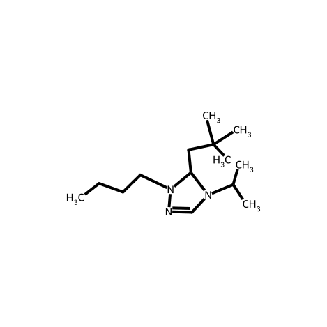 CCCCN1N=CN(C(C)C)C1CC(C)(C)C